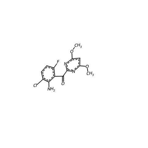 COc1cc(OC)nc(C(=O)c2c(F)ccc(Cl)c2N)n1